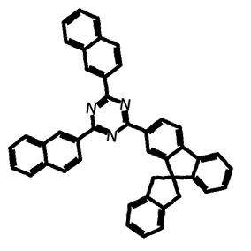 c1ccc2c(c1)CC1(C2)c2ccccc2-c2ccc(-c3nc(-c4ccc5ccccc5c4)nc(-c4ccc5ccccc5c4)n3)cc21